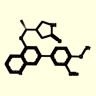 COc1cc(-c2cc(O[C@H](C)C3CNC(=O)C3)c3cccnc3c2)ccc1OC(C)C